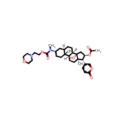 CC(=O)O[C@@H]1C[C@@]2(O)[C@@H]3CC[C@@H]4C[C@H](N(C)C(=O)OCCN5CCOCC5)CC[C@@]4(C)[C@@H]3CC[C@]2(C)[C@H]1c1ccc(=O)oc1